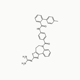 Cc1ccc(-c2ccccc2C(=O)Nc2ccc(C(=O)N3CCc4sc(N=C(N)N)nc4-c4ccccc43)cc2)cc1